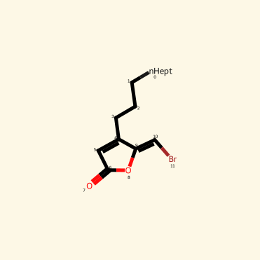 CCCCCCCCCCC1=CC(=O)OC1=CBr